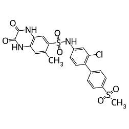 Cc1cc2[nH]c(=O)c(=O)[nH]c2cc1S(=O)(=O)Nc1ccc(-c2ccc(S(C)(=O)=O)cc2)c(Cl)c1